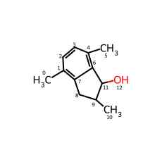 Cc1ccc(C)c2c1CC(C)C2O